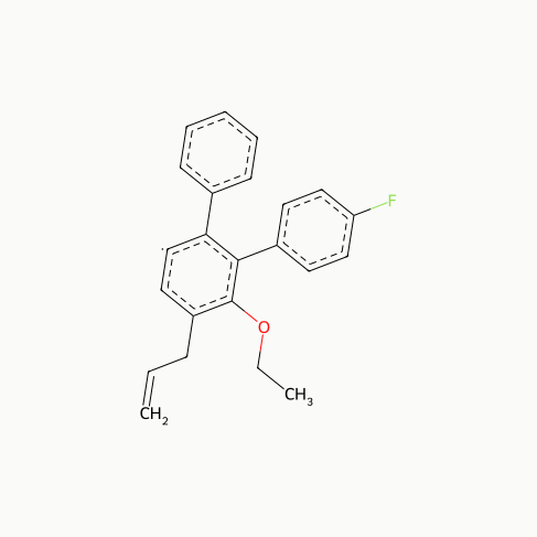 C=CCc1c[c]c(-c2ccccc2)c(-c2ccc(F)cc2)c1OCC